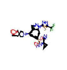 N#CC1(NS(=O)(=O)c2cc(N3CCC4(CCOC4)CC3)c3cnn(-c4nnc(C(F)F)s4)c3c2)CC1